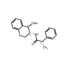 CO[C@@H]1c2ccccc2OC[C@H]1NC(=O)[C@@H](C)c1ccccc1